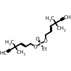 C#CC(C)(C)C=CCOP(=O)(CC)OCC=CC(C)(C)C#C